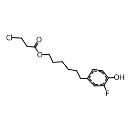 O=C(CCCl)OCCCCCCc1ccc(O)c(F)c1